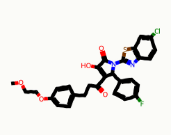 COCCOc1ccc(CCC(=O)C2=C(O)C(=O)N(c3nc4ccc(Cl)cc4s3)C2c2ccc(F)cc2)cc1